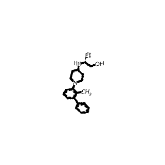 CC[C@H](CO)NC1CCN(c2cccc(-c3ccccc3)c2C)CC1